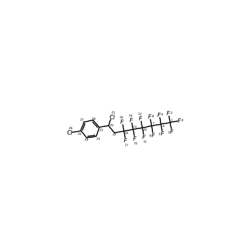 FC(F)(F)C(F)(F)C(F)(F)C(F)(F)C(F)(F)C(F)(F)CC(Cl)c1ccc(Cl)cc1